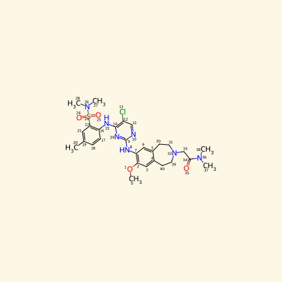 COc1cc2c(cc1Nc1ncc(Cl)c(Nc3ccc(C)cc3S(=O)(=O)N(C)C)n1)CCN(CC(=O)N(C)C)CC2